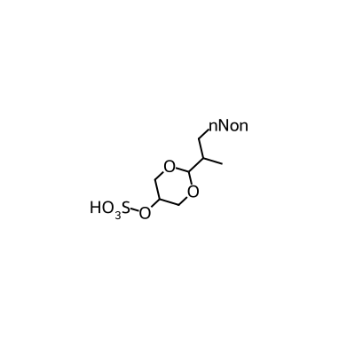 CCCCCCCCCCC(C)C1OCC(OS(=O)(=O)O)CO1